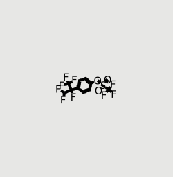 O=S(=O)(Oc1ccc(C(F)(C(F)F)C(F)(F)F)cc1)C(F)(F)F